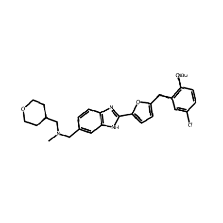 CC(C)COc1ccc(Cl)cc1Cc1ccc(-c2nc3ccc(CN(C)CC4CCOCC4)cc3[nH]2)o1